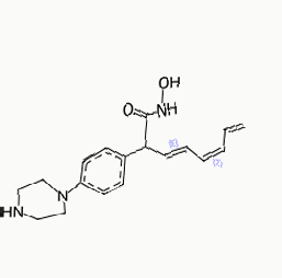 C=C/C=C\C=C\C(C(=O)NO)c1ccc(N2CCNCC2)cc1